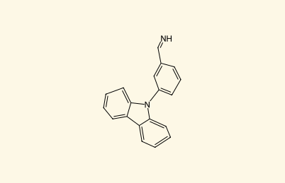 N=Cc1cccc(-n2c3ccccc3c3ccccc32)c1